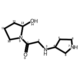 O=C(CNC1CCNC1)N1CCCC1O